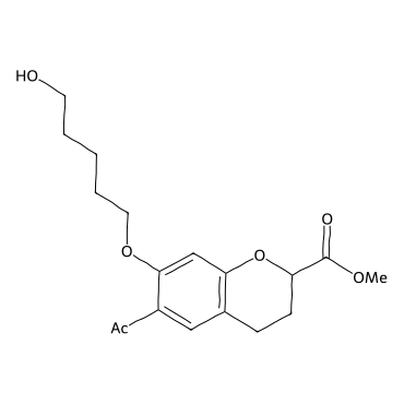 COC(=O)C1CCc2cc(C(C)=O)c(OCCCCCO)cc2O1